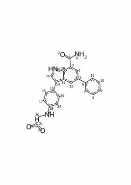 NC(=O)c1cc(-c2ccccc2)cc2c(-c3ccc(NC[SH](=O)=O)cc3)c[nH]c12